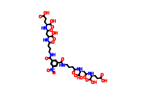 O=C(O)CC[C@H](NC(=O)CC(NC(=O)CCCNC(=O)c1cc(C(=O)NCCCC(=O)N[C@H](CC(=O)N[C@@H](CCC(=O)O)C(=O)O)C(=O)O)cc([N+](=O)[O-])c1)C(=O)O)C(=O)O